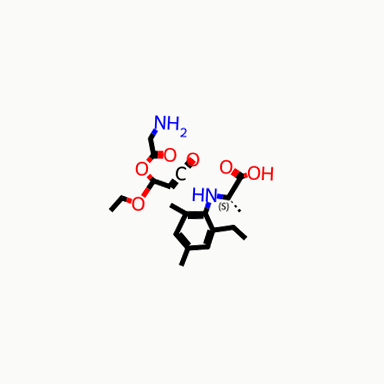 CCOC(C=C=O)OC(=O)CN.CCc1cc(C)cc(C)c1N[C@@H](C)C(=O)O